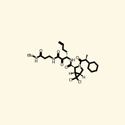 C=CCC[C@H](NC(=O)[C@@H]1[C@@H]2[C@H](CN1C(=O)[C@@H](C)C1CCCCC1)C2(Cl)Cl)C(=O)C(=O)NCCC(=O)NC(C)(C)C